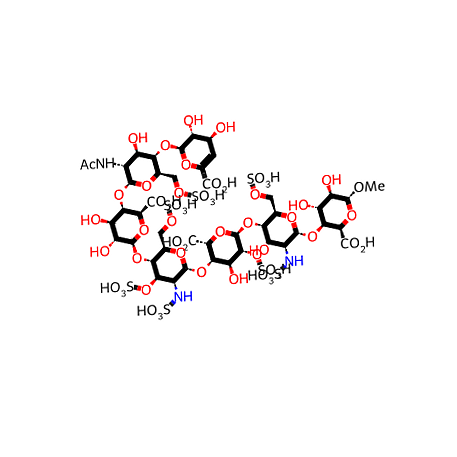 CO[C@@H]1O[C@@H](C(=O)O)[C@@H](O[C@H]2O[C@H](COS(=O)(=O)O)[C@@H](O[C@@H]3O[C@@H](C(=O)O)[C@@H](O[C@H]4O[C@H](COS(=O)(=O)O)[C@@H](O[C@@H]5O[C@H](C(=O)O)[C@@H](O[C@H]6O[C@H](COS(=O)(=O)O)[C@@H](O[C@@H]7OC(C(=O)O)=C[C@H](O)[C@H]7O)[C@H](O)[C@H]6NC(C)=O)[C@H](O)[C@H]5O)[C@H](OS(=O)(=O)O)[C@H]4NS(=O)(=O)O)[C@H](O)[C@H]3OS(=O)(=O)O)[C@H](O)[C@H]2NS(=O)(=O)O)[C@H](O)[C@H]1O